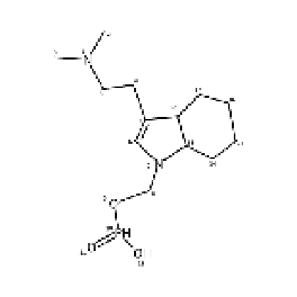 CN(C)CCC1=CN(CO[PH](=O)O)C2CCCCC12